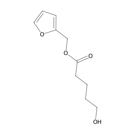 O=C(CCCCO)OCc1ccco1